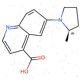 C[C@@H]1CCCN1c1ccc2nccc(C(=O)O)c2c1